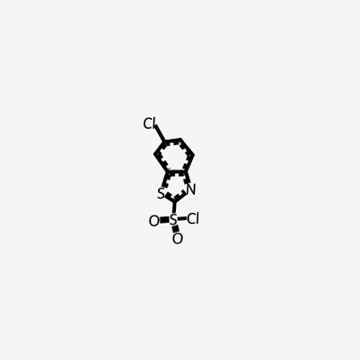 O=S(=O)(Cl)c1nc2ccc(Cl)cc2s1